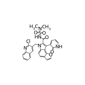 CN(C)S(=O)(=O)NC(=O)c1c(-c2ccc[nH]c2=O)c2c3occc3ccc2n1Cc1cc2ccccc2nc1Cl